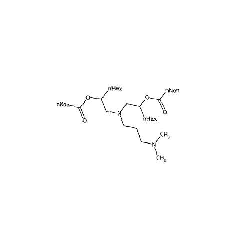 CCCCCCCCCC(=O)OC(CCCCCC)CN(CCCN(C)C)CC(CCCCCC)OC(=O)CCCCCCCCC